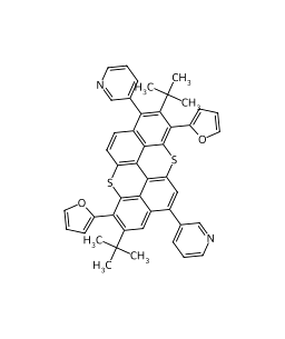 CC(C)(C)c1cc2c(-c3cccnc3)cc3sc4c(-c5ccco5)c(C(C)(C)C)c(-c5cccnc5)c5ccc6sc(c1-c1ccco1)c2c3-c6c54